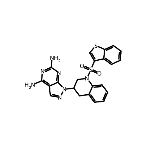 Nc1nc(N)c2cnn(C3Cc4ccccc4N(S(=O)(=O)c4csc5ccccc45)C3)c2n1